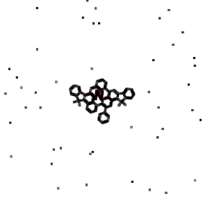 CC1(C)c2ccccc2-c2cc(-c3ccccc3N(c3ccc4c(c3)-c3ccccc3C4(C)C)c3cccc(-c4ccccc4)c3-c3ccccc3-c3ccccc3)ccc21